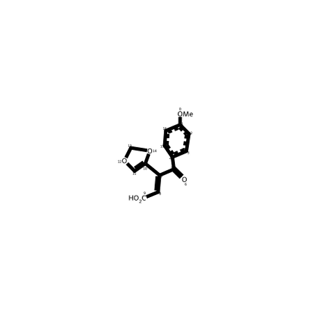 COc1ccc(C(=O)C(=CC(=O)O)C2=COCO2)cc1